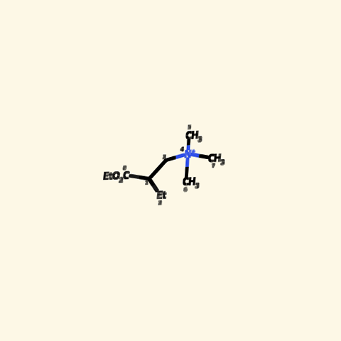 CCOC(=O)C(CC)C[N+](C)(C)C